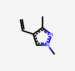 C=Cc1cn(C)nc1C